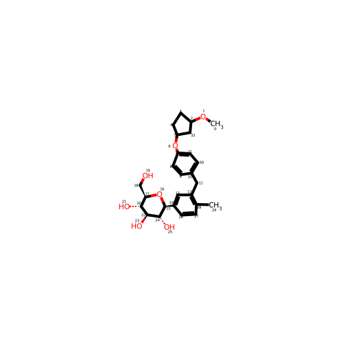 COC1CCC(Oc2ccc(Cc3cc([C@@H]4O[C@H](CO)[C@@H](O)[C@H](O)[C@H]4O)ccc3C)cc2)C1